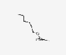 CCCCCONC